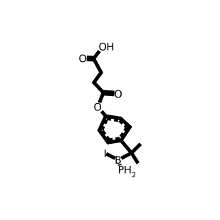 CC(C)(B(P)I)c1ccc(OC(=O)CCC(=O)O)cc1